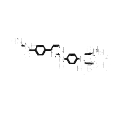 BC1(B)CN(c2ccc(Nc3nccc(-c4ccc(C(=O)NC=N)cc4)n3)cc2)CC(B)(B)O1